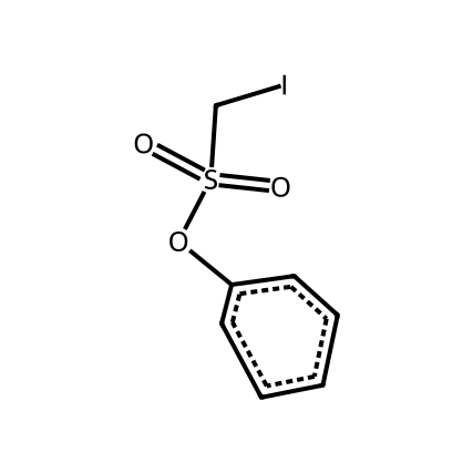 O=S(=O)(CI)Oc1ccccc1